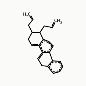 C=CCC1CC=c2c(ccc3c2=CCc2ccccc2-3)C1CC=C